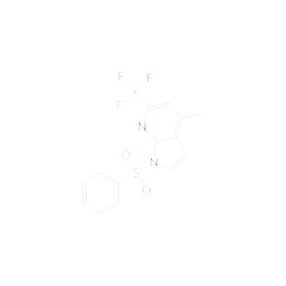 Cc1cc(C(F)(F)F)nc2c1ccn2S(=O)(=O)c1ccccc1